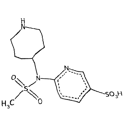 CS(=O)(=O)N(c1ccc(S(=O)(=O)O)cn1)C1CCNCC1